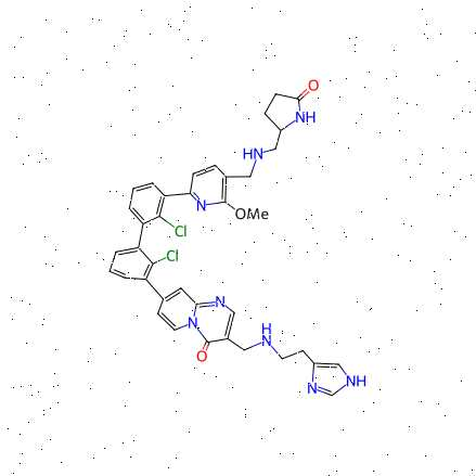 COc1nc(-c2cccc(-c3cccc(-c4ccn5c(=O)c(CNCCc6c[nH]cn6)cnc5c4)c3Cl)c2Cl)ccc1CNCC1CCC(=O)N1